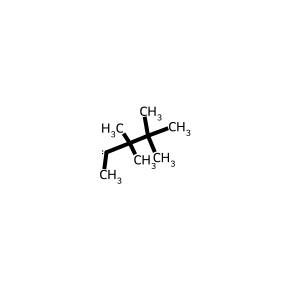 C[C]C(C)(C)C(C)(C)C